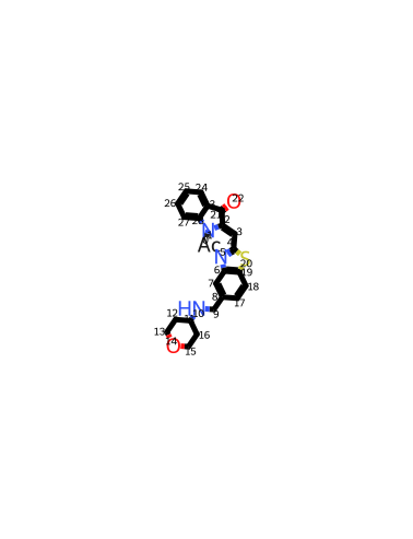 CC(=O)N1/C(=C\c2nc3cc(CNC4CCOCC4)ccc3s2)C(=O)c2ccccc21